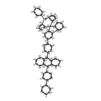 c1ccc(-c2ccc(-c3c4ccccc4c(-c4ccc(-c5ccc6c(c5)-c5ccccc5C65c6ccccc6N(c6ccccc6)c6ccccc65)nc4)c4ccccc34)cc2)cc1